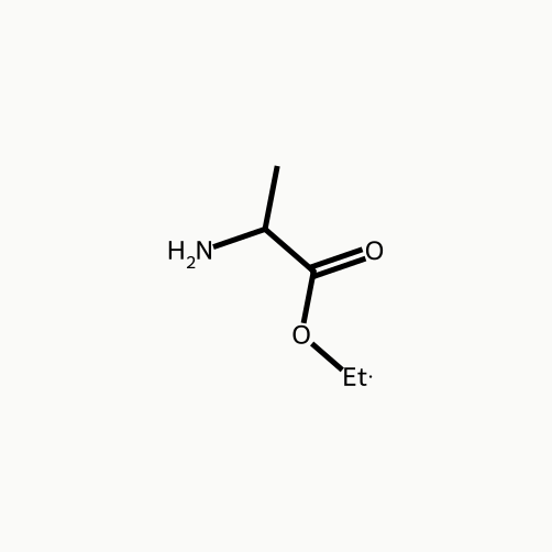 C[CH]OC(=O)C(C)N